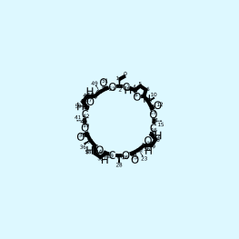 CC[C@H]1C[C@@H]2CC[C@@H](O2)[C@@H](C)C(=O)O[C@H](C)C[C@H]2CC[C@H](O2)[C@H](C)C(=O)O[C@@H](C)C[C@@H]2CC[C@@H](O2)[C@@H](C)C(=O)O[C@H](C)C[C@H]2CC[C@H](O2)[C@H](C)C(=O)O1